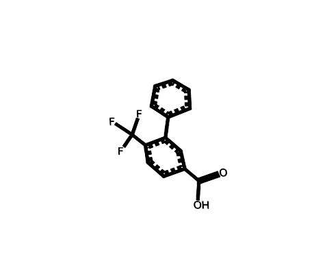 O=C(O)c1ccc(C(F)(F)F)c(-c2ccccc2)c1